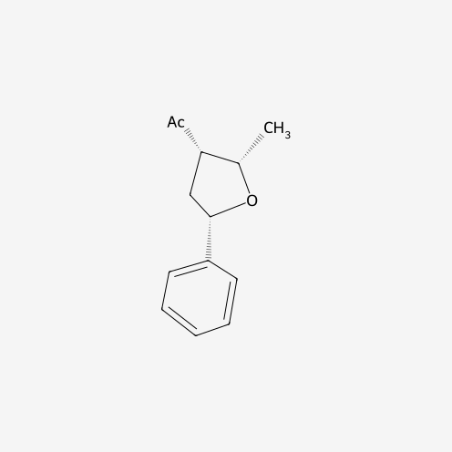 CC(=O)[C@H]1C[C@@H](c2ccccc2)O[C@H]1C